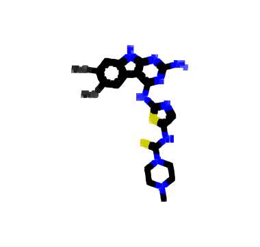 COc1cc2[nH]c3nc(N)nc(Nc4ncc(NC(=S)N5CCN(C)CC5)s4)c3c2cc1OC